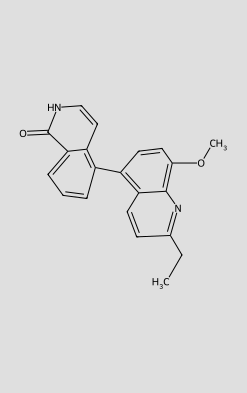 CCc1ccc2c(-c3cccc4c(=O)[nH]ccc34)ccc(OC)c2n1